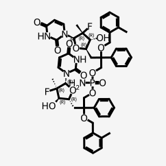 Cc1ccccc1COC(COP(N)(=O)OCC(C[C@H]1O[C@@H](n2ccc(=O)[nH]c2=O)[C@](C)(F)[C@@H]1O)(OCc1ccccc1C)c1ccccc1)(C[C@H]1O[C@@H](n2ccc(=O)[nH]c2=O)[C@](C)(F)[C@@H]1O)c1ccccc1